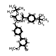 COc1nc(-c2ccc(C[C@H](NC(=O)c3ccc(C(C)(C)C)cc3)C(=O)OC(C)(C)C)cc2)ncc1Br